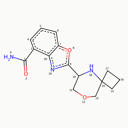 NC(=O)c1cccc2oc(C3COCC4(CCC4)N3)nc12